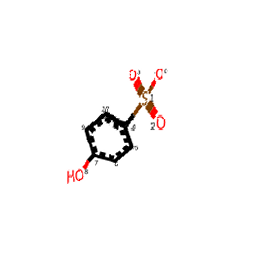 [O]S(=O)(=O)c1ccc(O)cc1